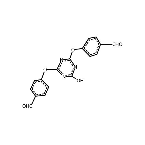 O=Cc1ccc(Oc2nc(O)nc(Oc3ccc(C=O)cc3)n2)cc1